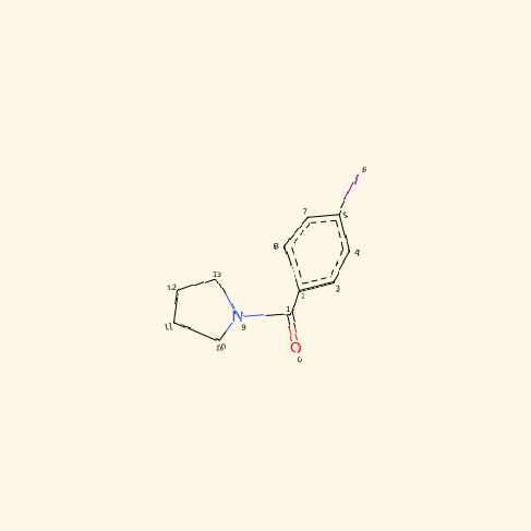 O=C(c1ccc(I)cc1)N1CCCC1